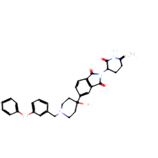 C=C1CCC(N2C(=O)c3ccc(C4(O)CCN(Cc5cccc(Oc6ccccc6)c5)CC4)cc3C2=O)C(=O)N1